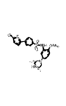 COc1ccc(N2C[C@@H](C)N[C@@H](C)C2)cc1NS(=O)(=O)c1ccc(-c2ccc(Cl)s2)cc1